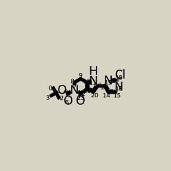 CC(C)(C)OC(=O)N1CCc2[nH]c(-c3ccnc(Cl)n3)cc2C1=O